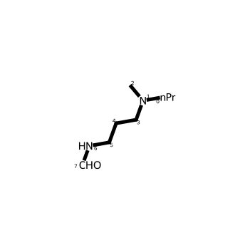 CCCN(C)CCCNC=O